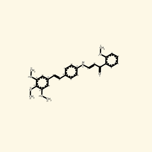 COc1ccccc1C(=O)C=CNc1ccc(C=Cc2cc(OC)c(OC)c(OC)c2)cc1